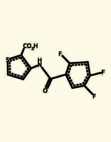 O=C(Nc1ccsc1C(=O)O)c1cc(F)c(F)cc1F